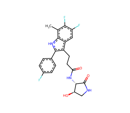 Cc1c(F)c(F)cc2c(CCC(=O)N[C@@H]3C(=O)NC[C@H]3O)c(-c3ccc(F)cc3)[nH]c12